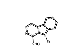 CCn1c2ccccc2c2ccnc(C=O)c21